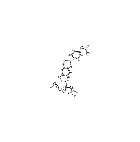 COC(=O)[C@@H]1Cc2cc3c(cc2CN1C(=O)OC(C)(C)C)O[C@@H](c1ccc(OC(C)=O)cc1)CO3